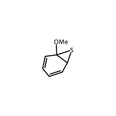 COC12C=CC=CC1S2